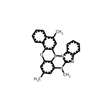 Cc1cc2c3c(c1)N(C)c1nc4ccccc4n1B3c1cc(C)c3ccccc3c1O2